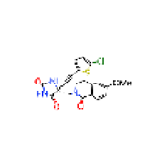 COc1ccc2c(c1)CCN(C[C@@]1(C#Cc3ccc(Cl)s3)NC(=O)NC1=O)C2=O